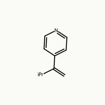 C=C(c1ccncc1)C(C)C